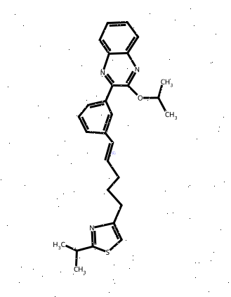 CC(C)Oc1nc2ccccc2nc1-c1cccc(/C=C/CCCc2csc(C(C)C)n2)c1